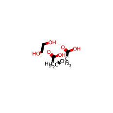 C=C.CC(=O)O.CC(=O)O.OCCO